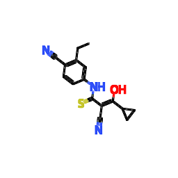 CCc1cc(NC(=S)C(C#N)=C(O)C2CC2)ccc1C#N